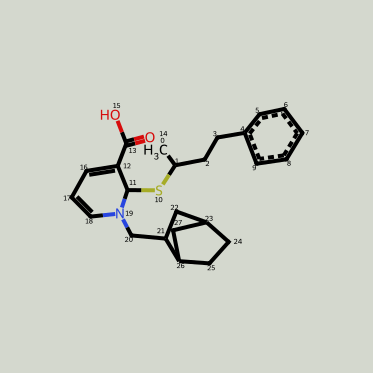 CC(CCc1ccccc1)SC1C(C(=O)O)=CC=CN1CC1CC2CCC1C2